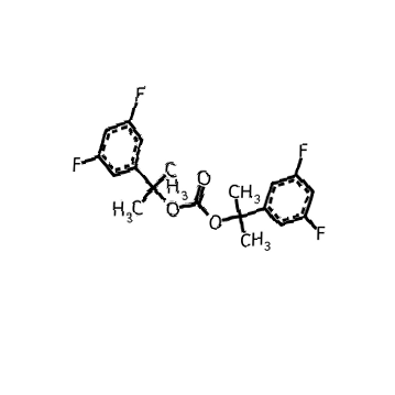 CC(C)(OC(=O)OC(C)(C)c1cc(F)cc(F)c1)c1cc(F)cc(F)c1